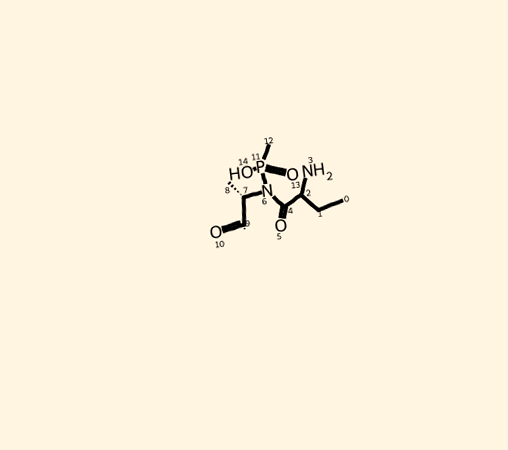 CCC(N)C(=O)N([C@@H](C)[C]=O)P(C)(=O)O